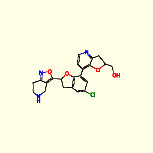 OCC1Cc2nccc(-c3cc(Cl)cc4c3OC(c3onc5c3CNCC5)C4)c2O1